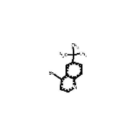 CC(C)(C)c1ccc2nccc(Br)c2c1